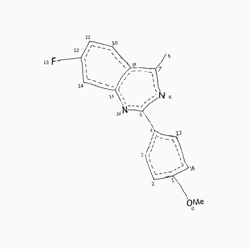 COc1ccc(-c2nc(C)c3ccc(F)cc3n2)cc1